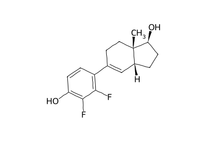 C[C@]12CCC(c3ccc(O)c(F)c3F)=C[C@H]1CC[C@@H]2O